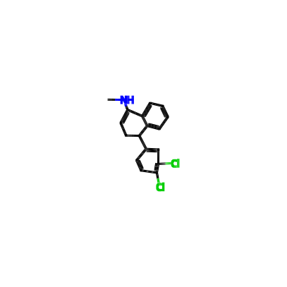 CNC1=CCC(c2ccc(Cl)c(Cl)c2)c2ccccc21